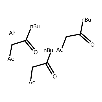 CCCCC(=O)CC(C)=O.CCCCC(=O)CC(C)=O.CCCCC(=O)CC(C)=O.[Al]